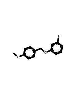 COc1ccc(COc2cccc(Br)c2)cc1